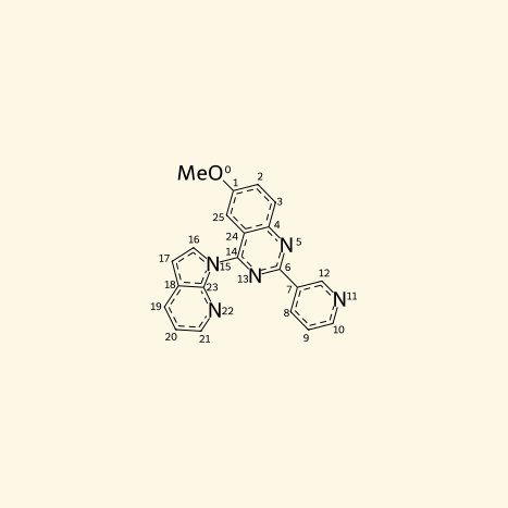 COc1ccc2nc(-c3cccnc3)nc(-n3ccc4cccnc43)c2c1